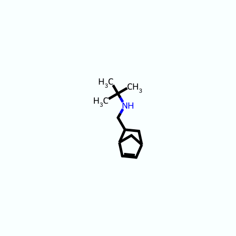 CC(C)(C)NCC1CC2C=CC1C2